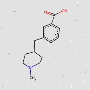 CN1CCC(Cc2cccc(C(=O)O)c2)CC1